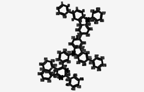 c1ccc(-c2ccc3c(c2)c2cc(-c4ccc5c(c4)c4cc(-c6ccccc6)ccc4n5-c4cccc(-c5nc(-c6ccccc6)nc6c5-c5cccc7cccc-6c57)c4)ccc2n3-c2ccccc2)cc1